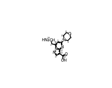 CCc1cc(N2CCOCC2)nc2c(C(=O)O)cnn12.[NaH]